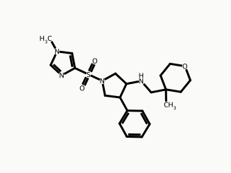 Cn1cnc(S(=O)(=O)N2CC(NCC3(C)CCOCC3)C(c3ccccc3)C2)c1